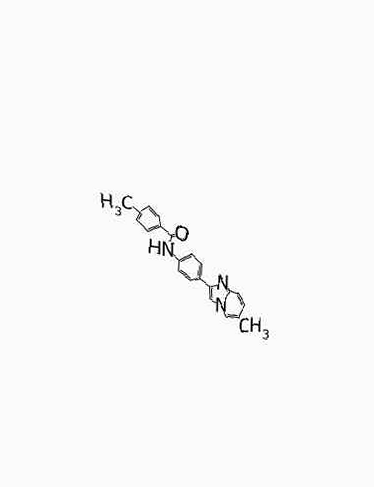 Cc1ccc(C(=O)Nc2ccc(-c3cn4cc(C)ccc4n3)cc2)cc1